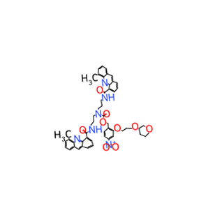 Cc1cccc2cc3cccc(C(=O)NCCCN(CCCNC(=O)c4cccc5cc6cccc(C)c6nc45)C(=O)OCc4ccc([N+](=O)[O-])cc4OCCCOC4CCCOC4)c3nc12